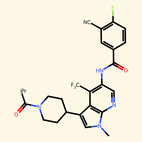 CC(C)C(=O)N1CCC(c2cn(C)c3ncc(NC(=O)c4ccc(F)c(C#N)c4)c(C(F)(F)F)c23)CC1